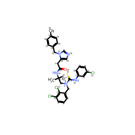 CC(C)(CN(Cc1cccc(Cl)c1Cl)C(=S)Nc1cccc(Cl)c1)NC(=O)Cc1cncn1Cc1ccc(C#N)cc1